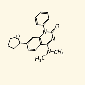 CN(C)c1nc(=O)n(-c2ccccc2)c2cc(C3CCCO3)ccc12